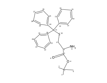 CC(C)(C)OC(=O)C(N)CSC(c1ccccc1)(c1ccccc1)c1ccccc1